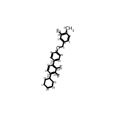 Cc1ccc(COc2ccc(-c3ccc(C4CCCCC4)c(F)c3F)cc2)cc1F